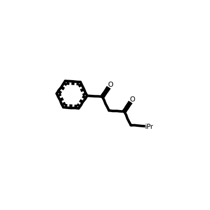 CC(C)CC(=O)CC(=O)c1ccccc1